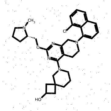 CN1CCC[C@H]1COc1nc2c(c(N3CCCC4(CC(O)C4)C3)n1)CCN(c1cccc3cccc(Cl)c13)C2